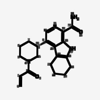 C=CC(=O)N1CCC[C@H](c2cnc(C(N)=O)c3[nH]c4c(c23)CCCC4)C1